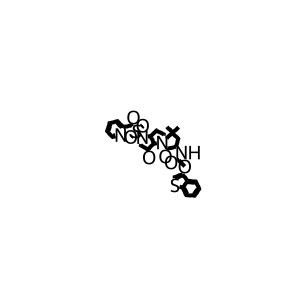 CC(C)(C)CC(NC(=O)Oc1csc2ccccc12)C(=O)N1CCC2C1C(=O)CN2S(=O)(=O)C(=O)c1ccccn1